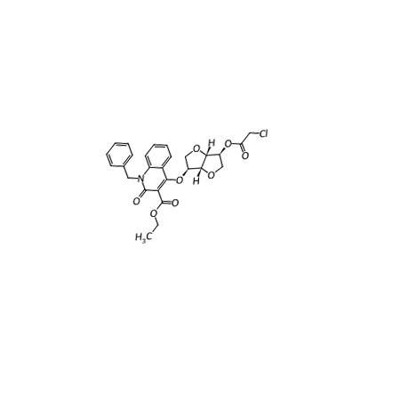 CCOC(=O)c1c(O[C@H]2CO[C@H]3[C@@H]2OC[C@@H]3OC(=O)CCl)c2ccccc2n(Cc2ccccc2)c1=O